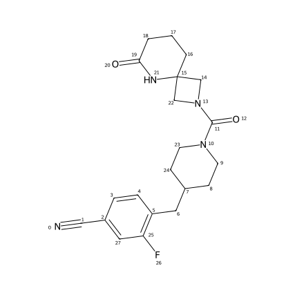 N#Cc1ccc(CC2CCN(C(=O)N3CC4(CCCC(=O)N4)C3)CC2)c(F)c1